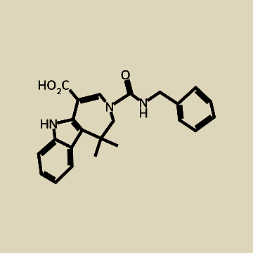 CC1(C)CN(C(=O)NCc2ccccc2)C=C(C(=O)O)c2[nH]c3ccccc3c21